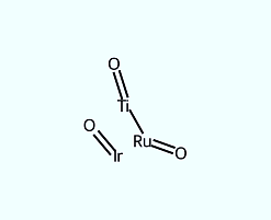 [O]=[Ir].[O]=[Ti][Ru]=[O]